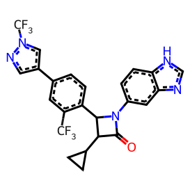 O=C1C(C2CC2)C(c2ccc(-c3cnn(C(F)(F)F)c3)cc2C(F)(F)F)N1c1ccc2[nH]cnc2c1